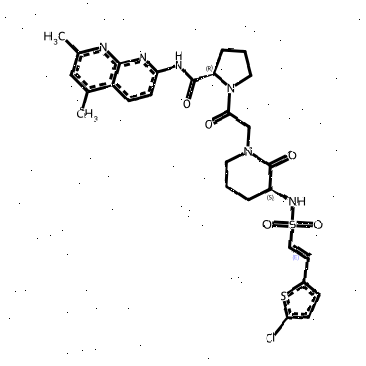 Cc1cc(C)c2ccc(NC(=O)[C@H]3CCCN3C(=O)CN3CCC[C@H](NS(=O)(=O)/C=C/c4ccc(Cl)s4)C3=O)nc2n1